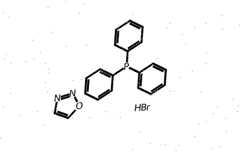 Br.c1ccc(P(c2ccccc2)c2ccccc2)cc1.c1conn1